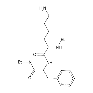 CCNC(=O)C(Cc1ccccc1)NC(=O)C(CCCCN)NCC